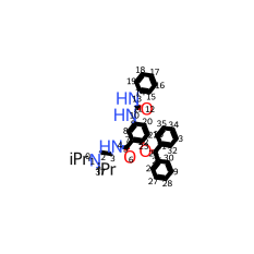 CC(C)N(CCNC(=O)c1cc(NC(=O)Nc2ccccc2)ccc1OC(c1ccccc1)c1ccccc1)C(C)C